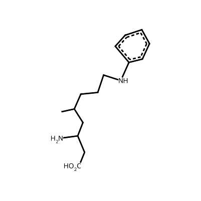 CC(CCCNc1ccccc1)CC(N)CC(=O)O